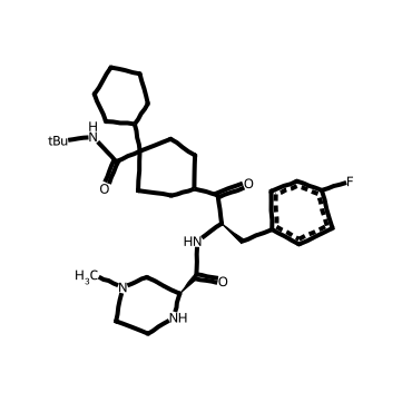 CN1CCN[C@H](C(=O)N[C@H](Cc2ccc(F)cc2)C(=O)C2CCC(C(=O)NC(C)(C)C)(C3CCCCC3)CC2)C1